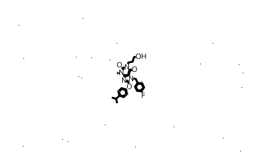 CC(C)c1ccc(Oc2nc3c(c(=O)n(CCCO)c(=O)n3C)n2Cc2ccc(F)cc2)cc1